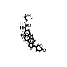 C[C@]12CC[C@H](NC(=O)NCCN)C[C@H]1CC[C@@H]1[C@@H]2CC[C@]2(C)[C@@H](c3ccc(=O)oc3)CC[C@]12O